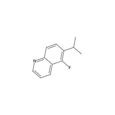 CC(C)c1ccc2ncccc2c1F